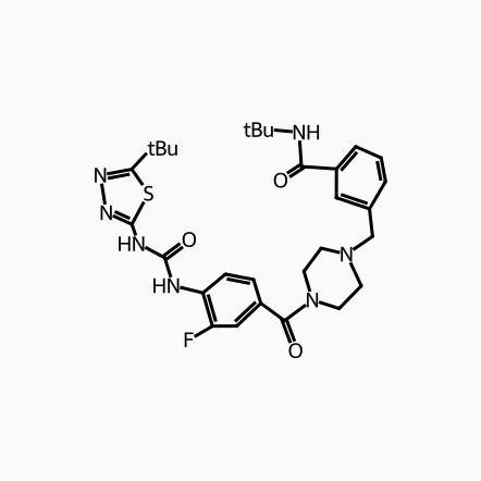 CC(C)(C)NC(=O)c1cccc(CN2CCN(C(=O)c3ccc(NC(=O)Nc4nnc(C(C)(C)C)s4)c(F)c3)CC2)c1